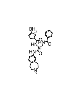 BC1=CCC(C(=O)N[C@H](CNC(=O)c2ccccc2)C(=O)Nc2ccc3c(c2)CCN(C)CC3)S1